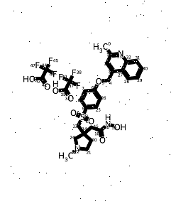 Cc1cc(COc2ccc(S(=O)(=O)CC3(CC(=O)NO)CCN(C)C3)cc2)c2ccccc2n1.O=C(O)C(F)(F)F.O=C(O)C(F)(F)F